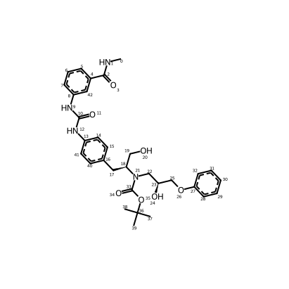 CNC(=O)c1cccc(NC(=O)Nc2ccc(C[C@@H](CO)N(C[C@H](O)COc3ccccc3)C(=O)OC(C)(C)C)cc2)c1